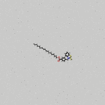 CCCCCCCCCCCCCCCCCCOC(=O)c1ccc(Cn2c(=S)sc3ccccc32)cc1